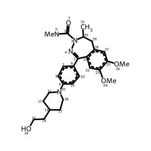 CNC(=O)N1N=C(c2ccc(N3CCC(CCO)CC3)cc2)c2cc(OC)c(OC)cc2CC1C